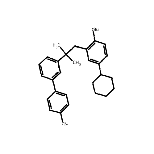 CC(C)(C)c1ccc(C2CCCCC2)cc1CC(C)(C)c1cccc(-c2ccc(C#N)cc2)c1